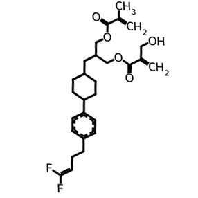 C=C(C)C(=O)OCC(COC(=O)C(=C)CO)CC1CCC(c2ccc(CCC=C(F)F)cc2)CC1